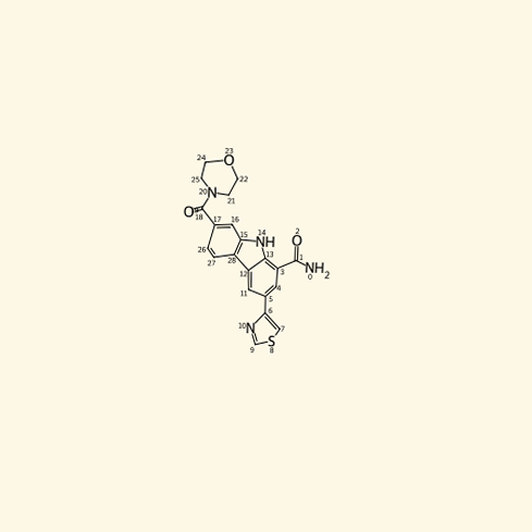 NC(=O)c1cc(-c2cscn2)cc2c1[nH]c1cc(C(=O)N3CCOCC3)ccc12